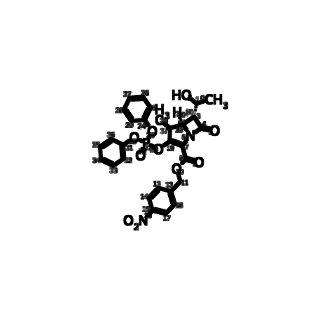 CC(O)[C@@H]1C(=O)N2C(C(=O)OCc3ccc([N+](=O)[O-])cc3)=C(OP(=O)(Oc3ccccc3)Oc3ccccc3)C(C)[C@@H]12